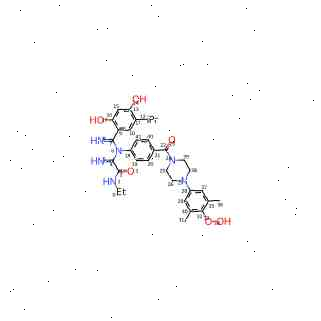 CCNC(=O)C(=N)N(C(=N)c1cc(C(C)C)c(O)cc1O)c1ccc(C(=O)N2CCN(c3cc(C)c(OO)c(C)c3)CC2)cc1